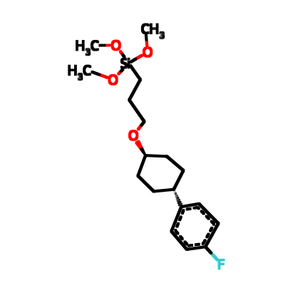 CO[Si](CCCO[C@H]1CC[C@H](c2ccc(F)cc2)CC1)(OC)OC